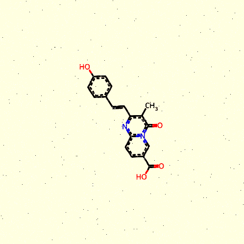 Cc1c(/C=C/c2ccc(O)cc2)nc2ccc(C(=O)O)cn2c1=O